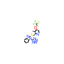 Cc1c(OCC(F)(F)F)ccnc1CSc1nc2ccccc2n1-c1nnnn1C